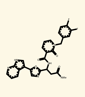 CNC(=O)CC(NC(=O)c1cccn(Cc2ccc(F)c(F)c2)c1=O)c1ncc(-c2c[nH]c3ncccc23)o1